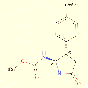 COc1ccc([C@@H]2CC(=O)N[C@H]2NC(=O)OC(C)(C)C)cc1